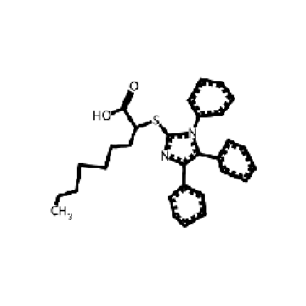 CCCCCCCC(Sc1nc(-c2ccccc2)c(-c2ccccc2)n1-c1ccccc1)C(=O)O